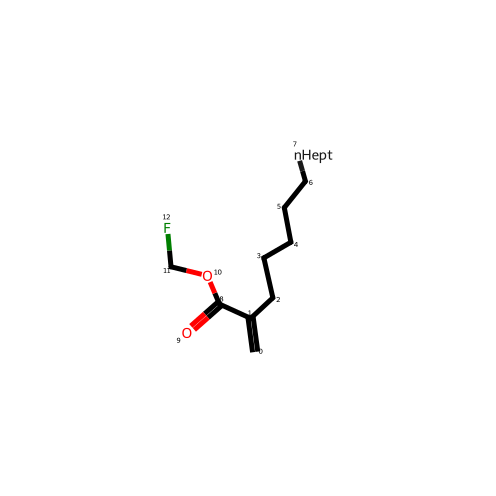 C=C(CCCCCCCCCCCC)C(=O)OCF